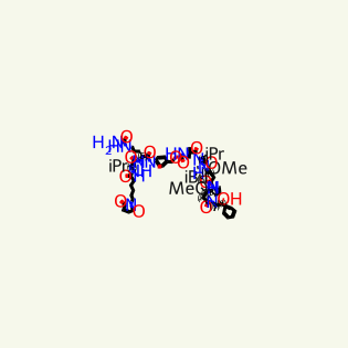 CC[C@H](C)[C@@H]([C@@H](CC(=O)N1CCC[C@H]1[C@H](OC)[C@@H](C)C(=O)N[C@H](C)[C@@H](O)c1ccccc1)OC)N(C)C(=O)[C@@H](NC(=O)C(C)(C)NC(=O)OCc1ccc(NC(=O)[C@H](CCCNC(N)=O)NC(=O)[C@@H](NC(=O)CCCCCN2C(=O)C=CC2=O)C(C)C)cc1)C(C)C